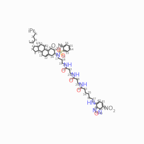 CC(C)CCCC(C)[C@H]1CCC2C3CC=C4C[C@@H](N(CCCNC(=O)CCNC(=O)CCNC(=O)CCCCCNc5ccc([N+](=O)[O-])c6nonc56)S(=O)(=O)c5ccccc5[N+](=O)[O-])CC[C@]4(C)C3CC[C@@]21C